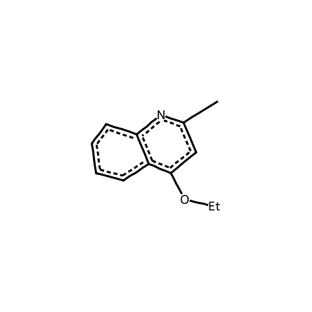 CCOc1cc(C)nc2ccccc12